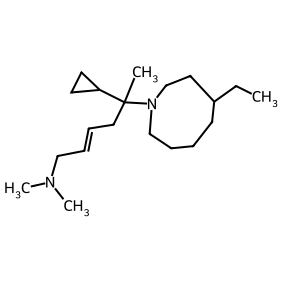 CCC1CCCCN(C(C)(C/C=C/CN(C)C)C2CC2)CC1